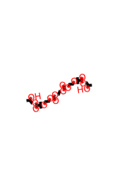 CC(O)COC(=O)C(C)(C)OCCOC(=O)OCCOC(=O)OCCOC(C)(C)C(=O)OCC(C)O